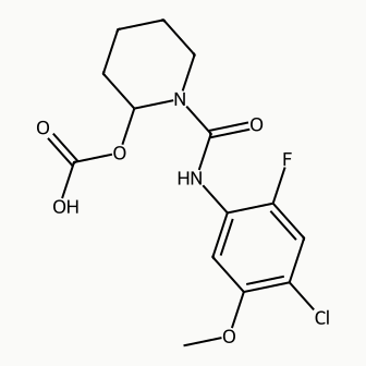 COc1cc(NC(=O)N2CCCCC2OC(=O)O)c(F)cc1Cl